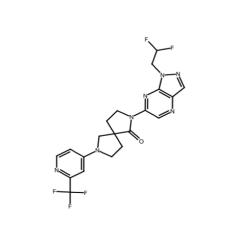 O=C1N(c2cnc3cnn(CC(F)F)c3n2)CCC12CCN(c1ccnc(C(F)(F)F)c1)C2